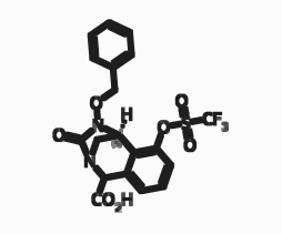 O=C(O)C1c2cccc(OS(=O)(=O)C(F)(F)F)c2[C@H]2CN1C(=O)N2OCc1ccccc1